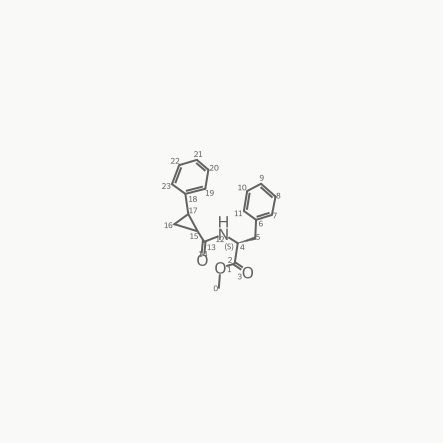 COC(=O)[C@H](Cc1ccccc1)NC(=O)C1CC1c1ccccc1